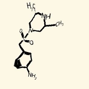 CC1CN(S(=O)(=O)Cc2ccc(N)cc2)C[C@H](C)N1